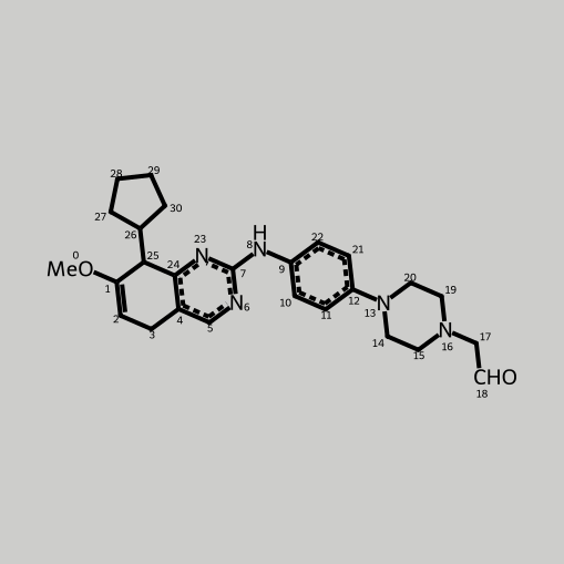 COC1=CCc2cnc(Nc3ccc(N4CCN(CC=O)CC4)cc3)nc2C1C1CCCC1